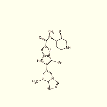 CC1=CC(c2[nH]c3cc(C(=O)N(C)[C@@H]4CCNC[C@@H]4F)sc3c2C(C)C)=CN2N=CNC12